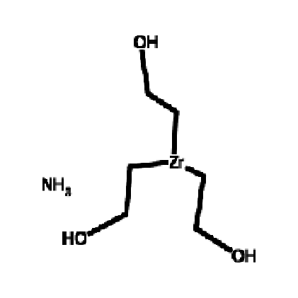 N.OC[CH2][Zr]([CH2]CO)[CH2]CO